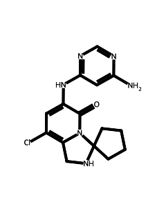 Nc1cc(Nc2cc(Cl)c3n(c2=O)C2(CCCC2)NC3)ncn1